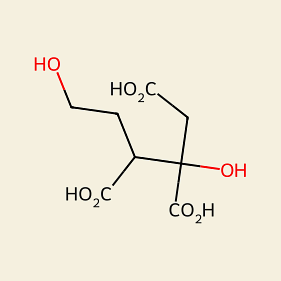 O=C(O)CC(O)(C(=O)O)C(CCO)C(=O)O